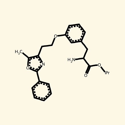 Cc1oc(-c2ccccc2)nc1CCOc1[c]c(CC(N)C(=O)OC(C)C)ccc1